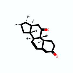 CC(=O)[C@H]1[C@@H](C)C[C@H]2[C@@H]3C=CC4=CC(=O)CC[C@]4(C)[C@H]3C(=O)C[C@@]21C